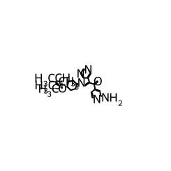 CC(C)(C)[Si](C)(C)OC1CCC(n2cc(C(=O)c3ccnc(N)c3)c3cncnc32)CC1